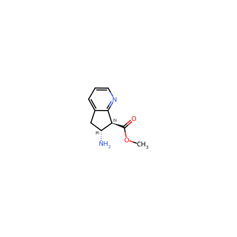 COC(=O)[C@@H]1c2ncccc2C[C@H]1N